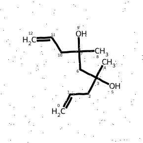 C=CCC(C)(O)CC(C)(O)CC=C